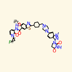 CC(C)Oc1cc2nc(C3CCC(CN4CCN(c5ccc6c(N7CCC(=O)NC7=O)nn(C)c6c5)CC4)CC3)sc2cc1C(=O)Nc1cccn([C@H]2C[C@H]2F)c1=O